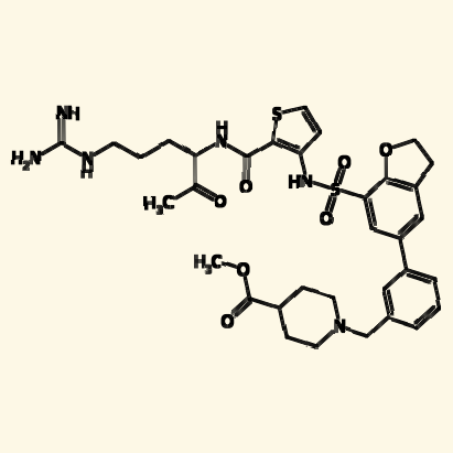 COC(=O)C1CCN(Cc2cccc(-c3cc4c(c(S(=O)(=O)Nc5ccsc5C(=O)NC(CCCNC(=N)N)C(C)=O)c3)OCC4)c2)CC1